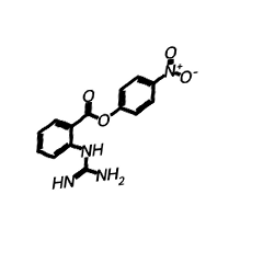 N=C(N)Nc1ccccc1C(=O)Oc1ccc([N+](=O)[O-])cc1